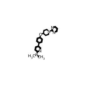 CN(C)c1ccc(-c2ccc(OC3CCN(c4ncccn4)CC3)cc2)cn1